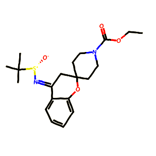 CCOC(=O)N1CCC2(CC1)C/C(=N\[S@@+]([O-])C(C)(C)C)c1ccccc1O2